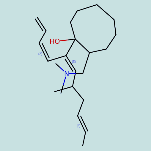 C=C/C=C\C(=C/C(C)C/C=C/C)C1(O)CCCCCCC1CN(C)C